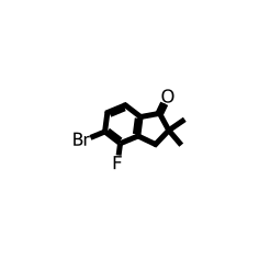 CC1(C)Cc2c(ccc(Br)c2F)C1=O